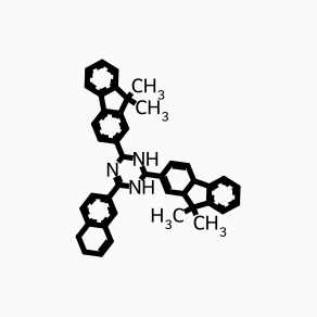 CC1(C)c2ccccc2-c2ccc(C3N=C(c4ccc5c(c4)C=CCC5)NC(C4=CC5C(C=C4)c4ccccc4C5(C)C)N3)cc21